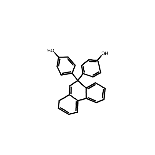 Oc1ccc(C2(c3ccc(O)cc3)C=C3CC=CC=C3c3ccccc32)cc1